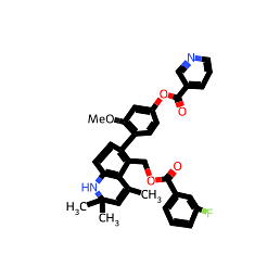 COc1cc(OC(=O)c2cccnc2)ccc1-c1ccc2c(c1COC(=O)c1cccc(F)c1)C(C)=CC(C)(C)N2